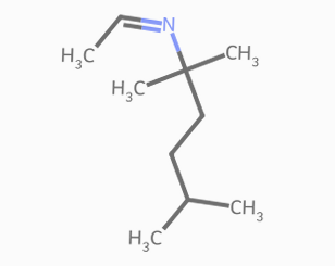 C/C=N\C(C)(C)CCC(C)C